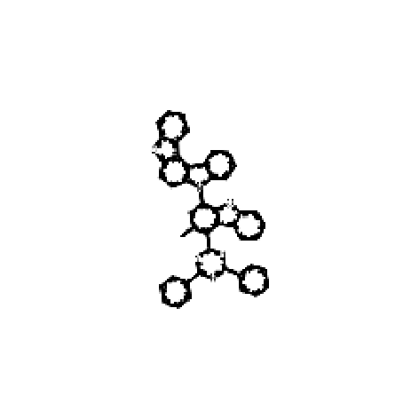 Cc1cc(-n2c3ccccc3c3c4c(ccc32)oc2ccccc24)c2oc3ccccc3c2c1-c1nc(-c2ccccc2)nc(-c2ccccc2)n1